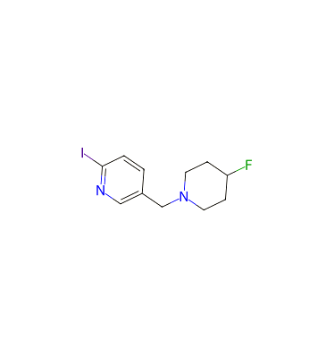 FC1CCN(Cc2ccc(I)nc2)CC1